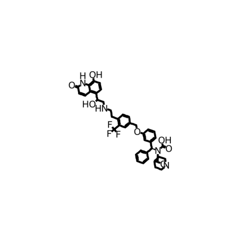 O=C(O)N(C1CN2CCC1CC2)[C@@H](c1ccccc1)c1cccc(OCc2ccc(CCNCC(O)c3ccc(O)c4[nH]c(=O)ccc34)c(C(F)(F)F)c2)c1